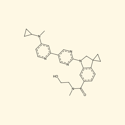 CN(CCO)C(=O)c1ccc2c(c1)N(c1ncc(-c3cc(N(C)C4CC4)ccn3)cn1)CC21CC1